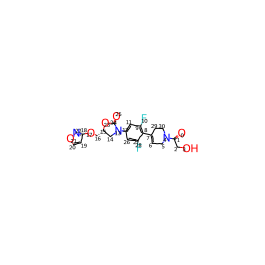 O=C(CO)N1CC=C(c2c(F)cc(N3C[C@H](COc4ccon4)OC3=O)cc2F)CC1